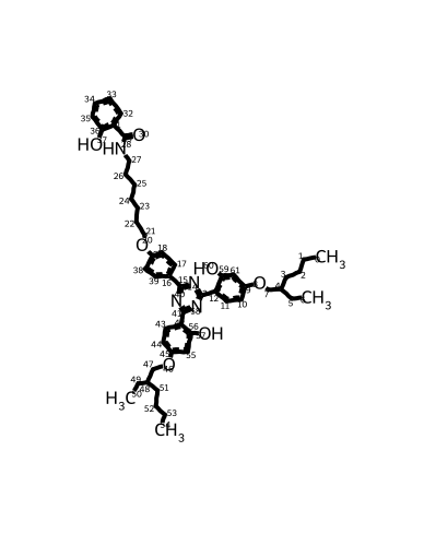 CCCCC(CC)COc1ccc(-c2nc(-c3ccc(OCCCCCCCNC(=O)c4ccccc4O)cc3)nc(-c3ccc(OCC(CC)CCCC)cc3O)n2)c(O)c1